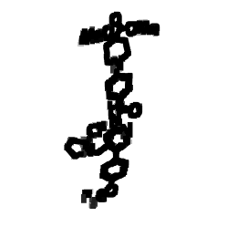 COC(=O)C1(OC)CCN(c2ccc(C(=O)Nc3cc(CN4CCC[C@H]4C(F)(F)F)c(-c4ccc(OC(F)(F)F)cc4)cn3)cc2)CC1